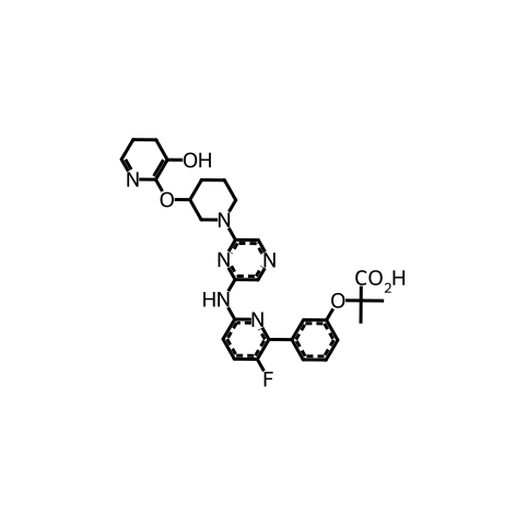 CC(C)(Oc1cccc(-c2nc(Nc3cncc(N4CCCC(OC5=C(O)CCC=N5)C4)n3)ccc2F)c1)C(=O)O